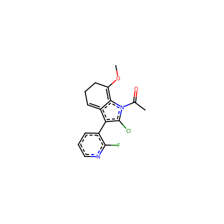 COC1=c2c(c(-c3cccnc3F)c(Cl)n2C(C)=O)=CCC1